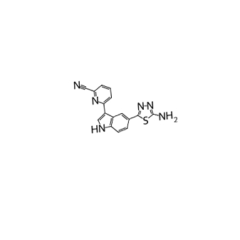 N#Cc1cccc(-c2c[nH]c3ccc(-c4nnc(N)s4)cc23)n1